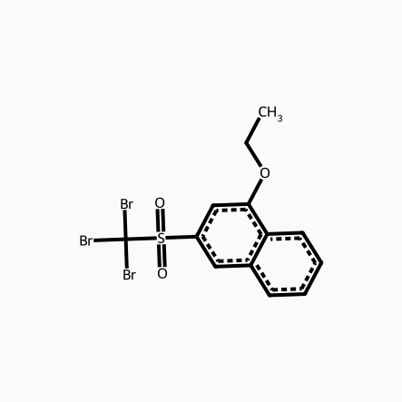 CCOc1cc(S(=O)(=O)C(Br)(Br)Br)cc2ccccc12